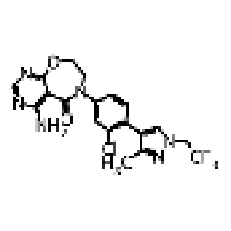 Cc1nn(CC(F)(F)F)cc1-c1ccc(N2CCOc3ncnc(N)c3C2=O)cc1Cl